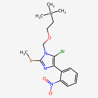 CSc1nc(-c2ccccc2[N+](=O)[O-])c(Br)n1COCC[Si](C)(C)C